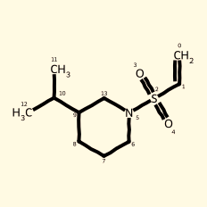 C=CS(=O)(=O)N1CCCC(C(C)C)C1